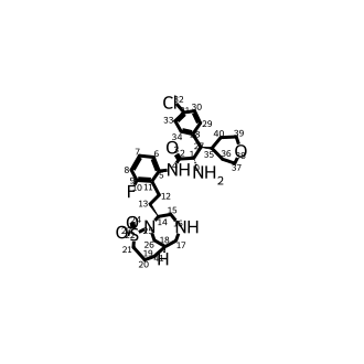 N[C@H](C(=O)Nc1cccc(F)c1CC[C@H]1CNC[C@H]2CCCS(=O)(=O)N1C2)[C@@H](c1ccc(Cl)cc1)C1CCOCC1